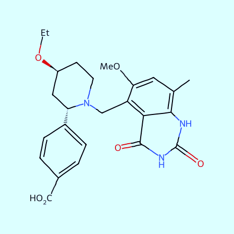 CCO[C@H]1CCN(Cc2c(OC)cc(C)c3[nH]c(=O)[nH]c(=O)c23)[C@H](c2ccc(C(=O)O)cc2)C1